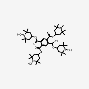 CN1C(C)(C)CC(OC(=O)c2cc(C(=O)OC3CC(C)(C)N(O)C(C)(C)C3)c(C(=O)OC3CC(C)(C)N(O)C(C)(C)C3)cc2C(O)OC2CC(C)(C)N(O)C(C)(C)C2)CC1(C)C